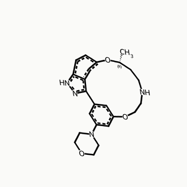 C[C@@H]1CCNCCOc2cc(cc(N3CCOCC3)c2)-c2n[nH]c3ccc(cc23)O1